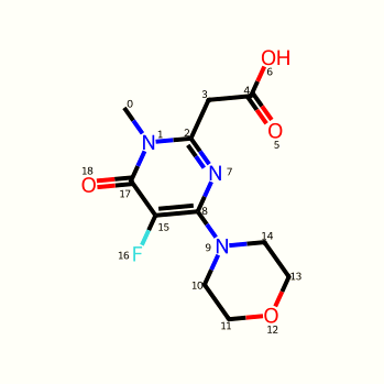 Cn1c(CC(=O)O)nc(N2CCOCC2)c(F)c1=O